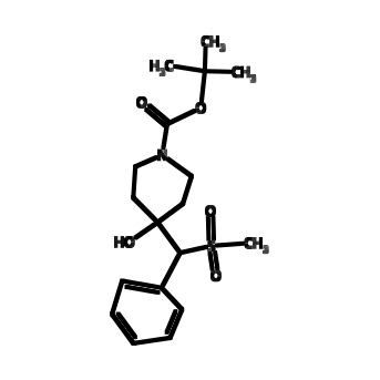 CC(C)(C)OC(=O)N1CCC(O)(C(c2ccccc2)S(C)(=O)=O)CC1